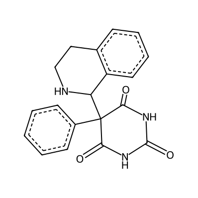 O=C1NC(=O)C(c2ccccc2)(C2NCCc3ccccc32)C(=O)N1